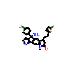 Cn1c(=O)cc(CCc2ccc(Cl)s2)c2cc(C(N)(c3ccc(Cl)cc3)c3cccnc3)ccc21